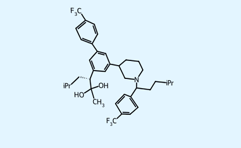 CC(C)CCC(c1ccc(C(F)(F)F)cc1)N1CCCC(c2cc(-c3ccc(C(F)(F)F)cc3)cc([C@@H](CC(C)C)C(C)(O)O)c2)C1